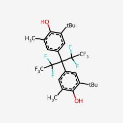 Cc1cc(C(c2cc(C)c(O)c(C(C)(C)C)c2)(C(F)(F)C(F)(F)F)C(F)(F)C(F)(F)F)cc(C(C)(C)C)c1O